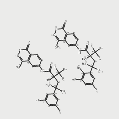 Cc1noc(=O)c2ccc(NC(=O)C(O)(CC(C)(C)c3cc(F)cc(F)c3)C(F)(F)F)cc12.Cc1noc(=O)c2ccc(NC(=O)C(O)(CC(C)(C)c3cc(F)cc(F)c3Br)C(F)(F)F)cc12